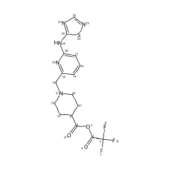 O=C(OC(=O)C(F)(F)F)C1CCN(Cc2cccc(Nc3ncns3)n2)CC1